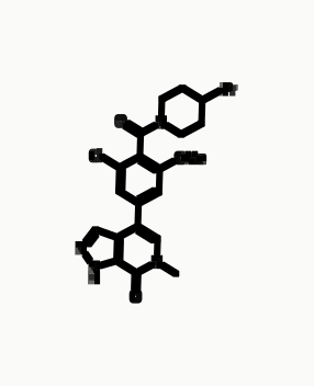 COc1cc(-c2cn(C)c(=O)c3[nH]ncc23)cc(Cl)c1C(=O)N1CCC(C(C)C)CC1